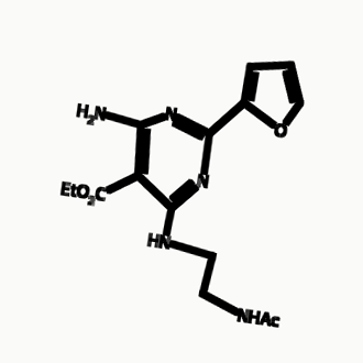 CCOC(=O)c1c(N)nc(-c2ccco2)nc1NCCNC(C)=O